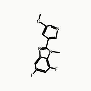 COc1cncc(-c2nc3cc(F)cc(F)c3n2C)c1